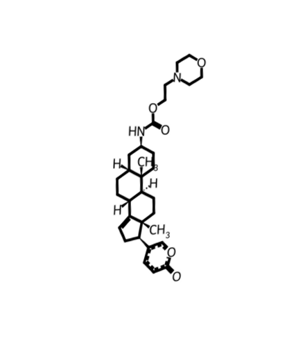 C[C@]12CC[C@H](NC(=O)OCCN3CCOCC3)C[C@H]1CC[C@H]1C3=CC[C@H](c4ccc(=O)oc4)[C@@]3(C)CC[C@@H]12